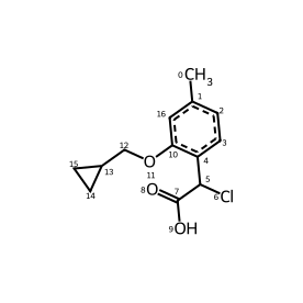 Cc1ccc(C(Cl)C(=O)O)c(OCC2CC2)c1